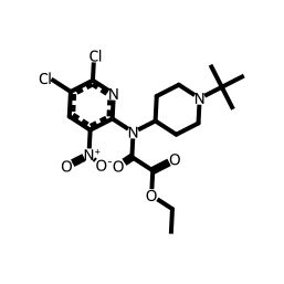 CCOC(=O)C(=O)N(c1nc(Cl)c(Cl)cc1[N+](=O)[O-])C1CCN(C(C)(C)C)CC1